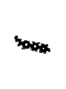 CC=CC(I)C1CCC(C2CCC(c3ccc(C)cc3)CC2)CC1